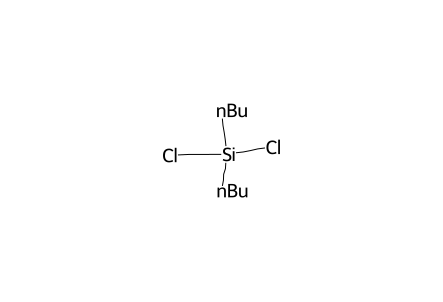 CCCC[Si](Cl)(Cl)CCCC